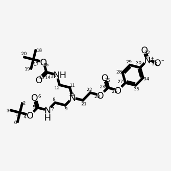 CC(C)(C)OC(=O)NCCN(CCNC(=O)OC(C)(C)C)CCOC(=O)Oc1ccc([N+](=O)[O-])cc1